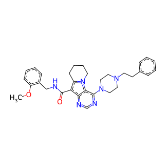 COc1ccccc1CNC(=O)c1c2n(c3c(N4CCN(CCc5ccccc5)CC4)ncnc13)CCCC2